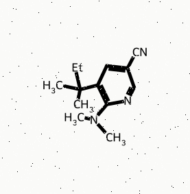 CCC(C)(C)c1cc(C#N)cnc1N(C)C